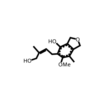 COc1c(C)c2c(c(O)c1CC=C(C)CO)COC2